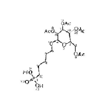 CC(=O)OCC1O[C@@H](OCCCCCP(=O)(O)O)C(OC(C)=O)C(OC(C)=O)[C@@H]1OC(C)=O